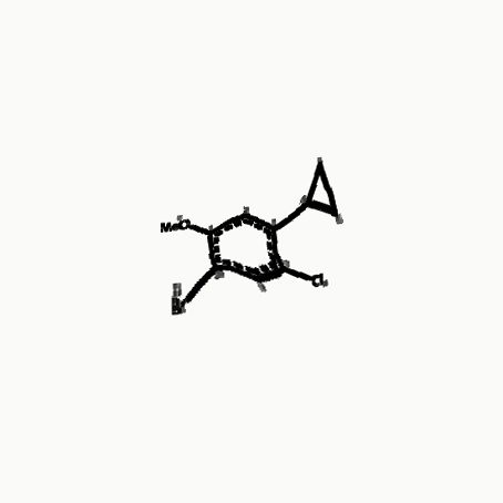 COc1cc(C2CC2)c(Cl)cc1Br